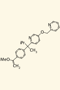 C=C(OC)c1ccc(C(C)(c2ccc(OCc3ccccn3)cn2)C(C)C)cc1